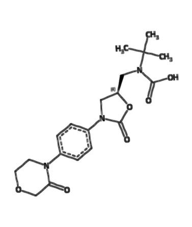 CC(C)(C)N(C[C@@H]1CN(c2ccc(N3CCOCC3=O)cc2)C(=O)O1)C(=O)O